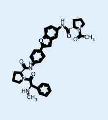 CN[C@@H](C(=O)N1CCC[C@H]1C(=O)Nc1ccc(-c2cc3cc(NC(=O)[C@@H]4CCCN4C(C)=O)ccc3o2)cc1)c1ccccc1